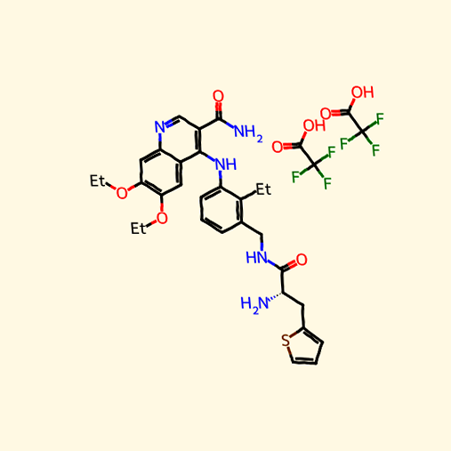 CCOc1cc2ncc(C(N)=O)c(Nc3cccc(CNC(=O)[C@@H](N)Cc4cccs4)c3CC)c2cc1OCC.O=C(O)C(F)(F)F.O=C(O)C(F)(F)F